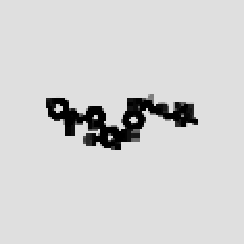 C[C@H](COCc1nnn(C)n1)N[C@H]1CC[C@H](Nc2cc(-c3cccc(NCC4(C#N)CCOCC4)n3)c(Cl)cn2)CC1